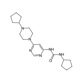 O=C(Nc1cc(N2CCN(C3CCCC3)CC2)ncn1)NC1CCCC1